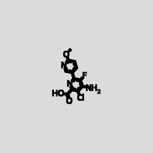 COc1ccc(-c2nc(C(=O)O)c(Cl)c(N)c2F)cn1